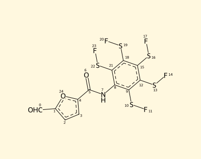 O=Cc1ccc(C(=O)Nc2c(SF)c(SF)c(SF)c(SF)c2SF)o1